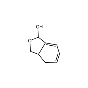 OC1OCC2CC=CC=C21